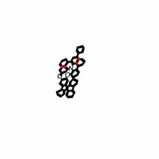 c1ccc(-c2ccc(N(c3ccccc3-c3ccccc3)c3cccc4c3Oc3cc5c(cc3O4)-c3ccccc3C53c4ccccc4-c4ccccc43)c(-c3ccccc3)c2)cc1